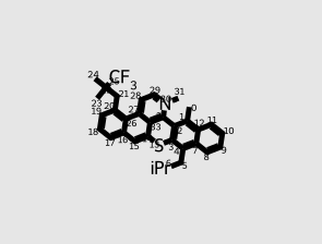 Cc1c2c(c(CC(C)C)c3ccccc13)Sc1cc3cccc(CC(C)(C)C(F)(F)F)c3c3cc[n+](C)c-2c13